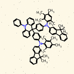 Cc1cc(C)c(N(c2ccc(C3(c4ccc(N(c5ccc6c(c5)C(C)(C)c5ccccc5-6)c5c(C)cc(C)c(C)c5C)cc4)c4ccccc4N(c4ccccc4)c4ccccc43)cc2)c2ccc3c(c2)C(C)(C)c2ccccc2-3)c(C)c1C